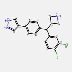 Clc1ccc(C(c2ccc(-c3cn[nH]c3)cc2)C2CNC2)cc1Cl